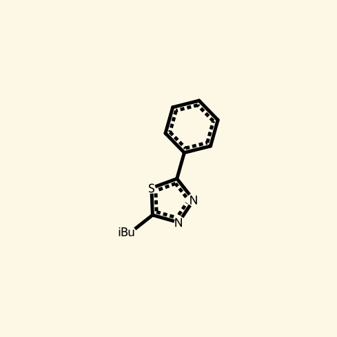 CCC(C)c1nnc(-c2ccccc2)s1